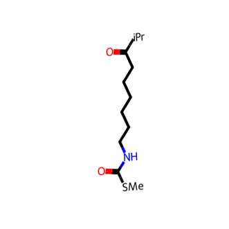 CSC(=O)NCCCCCCC(=O)C(C)C